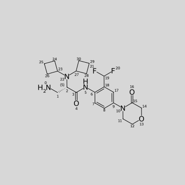 NC[C@@H](C(=O)Nc1ccc(N2CCOCC2=O)cc1C(F)F)N(C1CCC1)C1CCC1